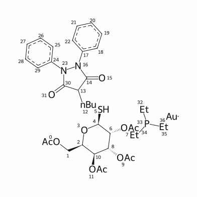 CC(=O)OC[C@H]1O[C@@H](S)[C@H](OC(C)=O)[C@H](OC(C)=O)[C@H]1OC(C)=O.CCCCC1C(=O)N(c2ccccc2)N(c2ccccc2)C1=O.CCP(CC)CC.[Au]